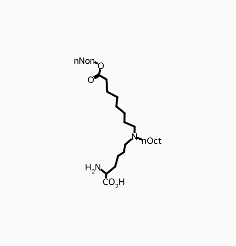 CCCCCCCCCOC(=O)CCCCCCCN(CCCCCCCC)CCCCC(N)C(=O)O